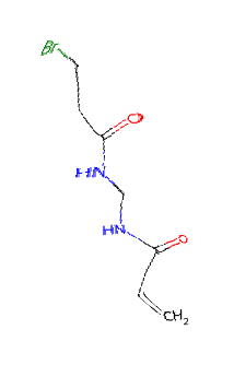 C=CC(=O)NCNC(=O)CCBr